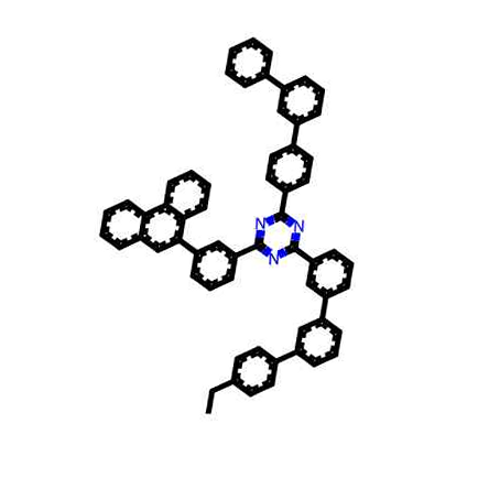 CCc1ccc(-c2cccc(-c3cccc(-c4nc(-c5ccc(-c6cccc(-c7ccccc7)c6)cc5)nc(-c5cccc(-c6cc7ccccc7c7ccccc67)c5)n4)c3)c2)cc1